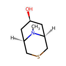 CN1[C@@H]2CSC[C@H]1C[C@@H](O)C2